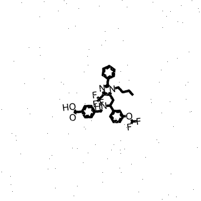 CCCCn1c(-c2ccccc2)nc(C(F)(F)F)c1CC(NCc1ccc(C(=O)O)cc1)c1cccc(OC(F)F)c1